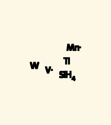 [Mn].[SiH4].[Ti].[V].[W]